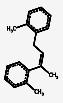 CC(=CCc1ccccc1C)c1ccccc1C